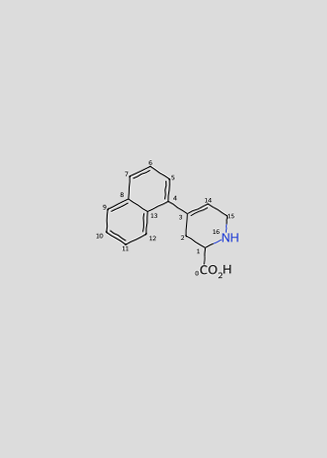 O=C(O)C1CC(c2cccc3ccccc23)=CCN1